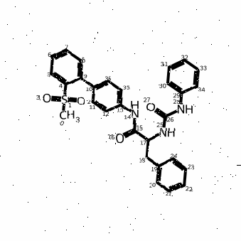 CS(=O)(=O)c1ccccc1-c1ccc(NC(=O)C(Cc2ccccc2)NC(=O)Nc2ccccc2)cc1